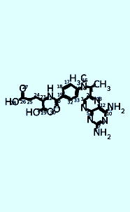 CC(c1cnc2nc(N)nc(N)c2n1)N(C)c1ccc(C(=O)NC(CCC(=O)O)C(=O)O)cc1